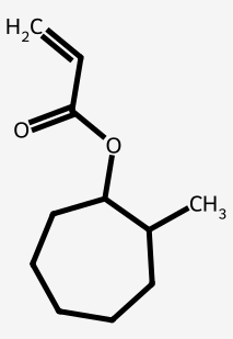 C=CC(=O)OC1CCCCCC1C